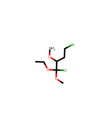 CCOC(Cl)(OC)C(CCBr)O[SiH3]